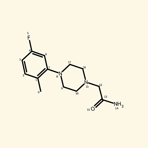 Cc1ccc(F)cc1N1CCN(CC(N)=O)CC1